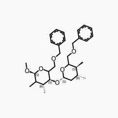 CO[C@H]1OC(COCc2ccccc2)[C@@H](O[C@H]2C[C@@H](C)[C@H](C)C(COCc3ccccc3)O2)[C@H](C)C1C